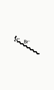 CCCCCCCCCCCCCC[N+](C)(C)CC.[Br-]